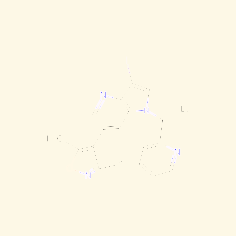 CC[C@H](c1ccccn1)n1cc(I)c2ncc(-c3c(C)noc3C)cc21